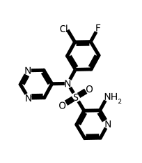 Nc1ncccc1S(=O)(=O)N(c1cncnc1)c1ccc(F)c(Cl)c1